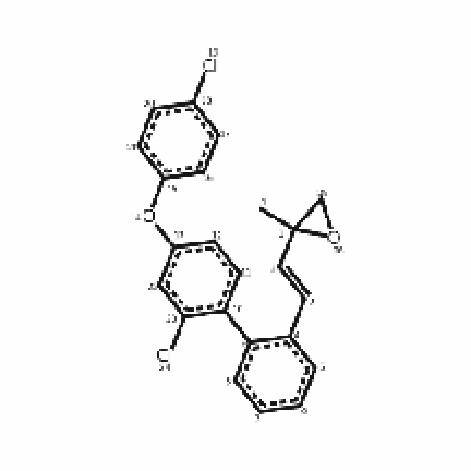 CC1(C=Cc2ccccc2-c2ccc(Oc3ccc(Cl)cc3)cc2Cl)CO1